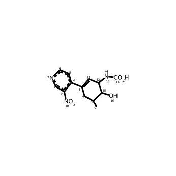 CC1CC(c2ccncc2[N+](=O)[O-])=CC(NC(=O)O)C1O